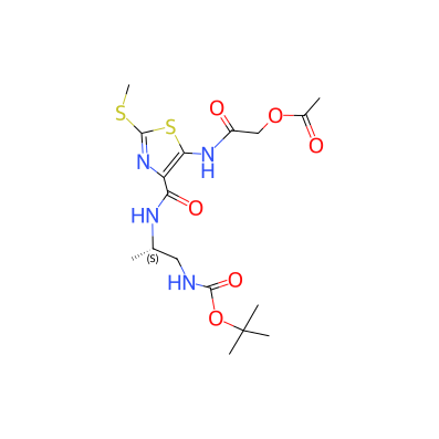 CSc1nc(C(=O)N[C@@H](C)CNC(=O)OC(C)(C)C)c(NC(=O)COC(C)=O)s1